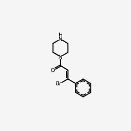 O=C(C=C(Br)c1ccccc1)N1CCNCC1